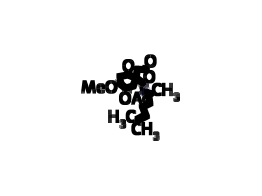 CO[C@@H]1CC(=O)C2(CC(=O)O[C@@H]2/C=C(\C)CCC=C(C)C)C[C@@H]1OC(C)=O